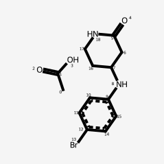 CC(=O)O.O=C1CC(Nc2ccc(Br)cc2)CCN1